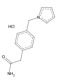 Cl.NC(=O)Cc1ccc(Cn2cccc2)cc1